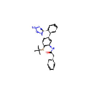 CC(C)(C)Sc1ccc(-c2ccccc2-c2nn[nH]n2)cc1NC(=O)Cc1ccccc1